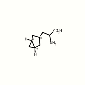 NC(C[C@H]1C[C@@H]2C[C@@H]2C1)C(=O)O